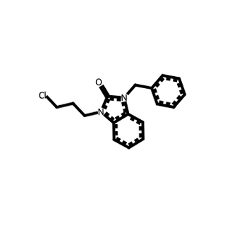 O=c1n(CCCCl)c2ccccc2n1Cc1ccccc1